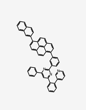 c1ccc(-c2cc(-c3ccccc3-c3cccnc3)nc(-c3cccc(-c4ccc5ccc6c(-c7ccc8ccccc8c7)ccc7ccc4c5c76)c3)n2)cc1